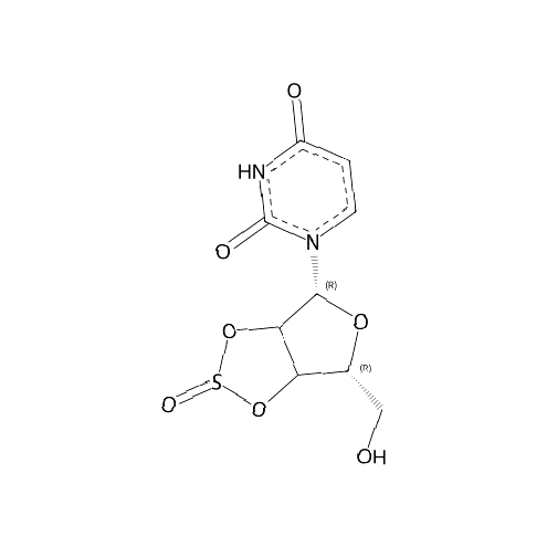 O=c1ccn([C@@H]2O[C@H](CO)C3OS(=O)OC32)c(=O)[nH]1